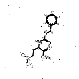 COC(=O)C(CC[S+](C)[O-])NC(=O)OCc1ccccc1